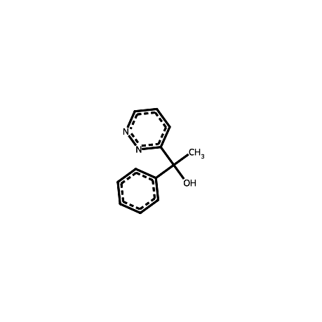 CC(O)(c1ccccc1)c1cccnn1